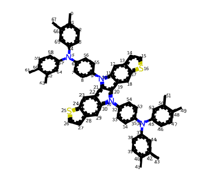 Cc1ccc(N(c2ccc(-n3c4cc5ccsc5cc4c4c3c3cc5sccc5cc3n4-c3ccc(N(c4ccc(C)c(C)c4)c4ccc(C)c(C)c4)cc3)cc2)c2ccc(C)c(C)c2)cc1C